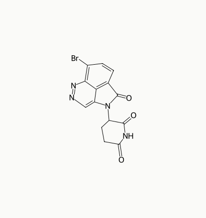 O=C1CCC(N2C(=O)c3ccc(Br)c4nncc2c34)C(=O)N1